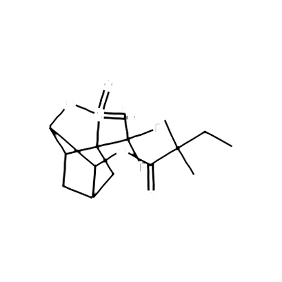 CCC(C)(C)C(=O)OC1C2CC3C1OS(=O)(=O)C3(C(F)(F)F)C2